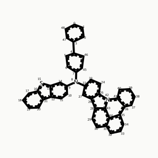 c1ccc(-c2ccc(N(c3ccc4c(c3)sc3ccccc34)c3ccc4c(c3)c3ccc5cccc6c7ccccc7n4c3c56)cc2)cc1